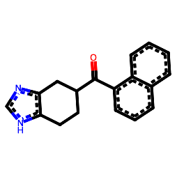 O=C(c1cccc2ccccc12)C1CCc2[nH]cnc2C1